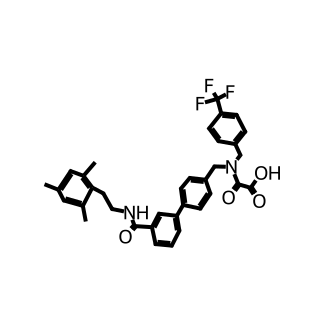 Cc1cc(C)c(CCNC(=O)c2cccc(-c3ccc(CN(Cc4ccc(C(F)(F)F)cc4)C(=O)C(=O)O)cc3)c2)c(C)c1